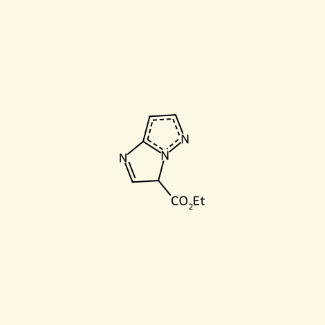 CCOC(=O)C1C=Nc2ccnn21